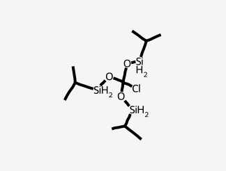 CC(C)[SiH2]OC(Cl)(O[SiH2]C(C)C)O[SiH2]C(C)C